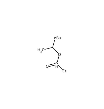 CCCCC(C)O[PH](=O)CC